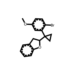 COc1ccc(Br)c(C2(C3Cc4ccccc4O3)CC2)c1